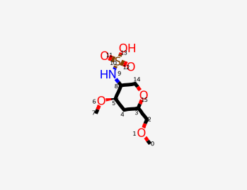 COCC1C[C@@H](OC)C(NS(=O)(=O)O)CO1